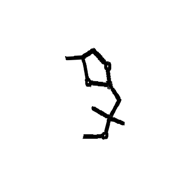 CO[Si](C)(C)CN1OCC(C)O1